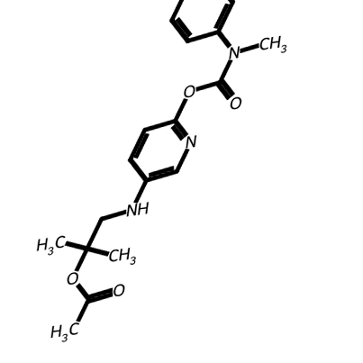 CC(=O)OC(C)(C)CNc1ccc(OC(=O)N(C)c2ccccc2)nc1